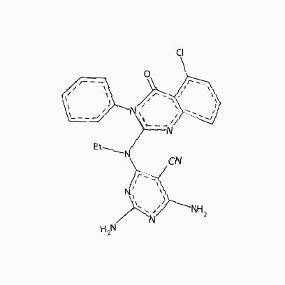 CCN(c1nc(N)nc(N)c1C#N)c1nc2cccc(Cl)c2c(=O)n1-c1ccccc1